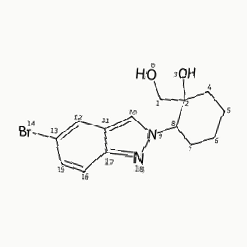 OCC1(O)CCCCC1n1cc2cc(Br)ccc2n1